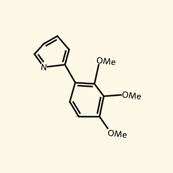 COc1[c]cc(-c2ccccn2)c(OC)c1OC